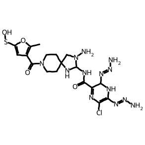 Cc1oc(SO)cc1C(=O)N1CCC2(CC1)CN(N)C(NC(=O)C1=NC(Cl)=C(N=NN)NC1N=NN)N2